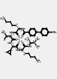 CCCCc1ccc(-c2ccc(C(=O)N[C@@H](CCCCN)C(=O)N[C@H](C(=O)N[C@H](C(=O)N[C@@H](CCCCN)C(=O)N[C@@H](N)B(O)O)C3CC3)C(C)O)cc2)cc1